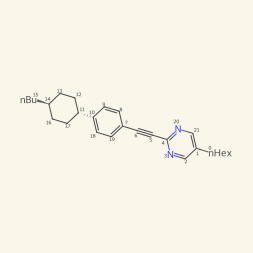 CCCCCCc1cnc(C#Cc2ccc([C@H]3CC[C@H](CCCC)CC3)cc2)nc1